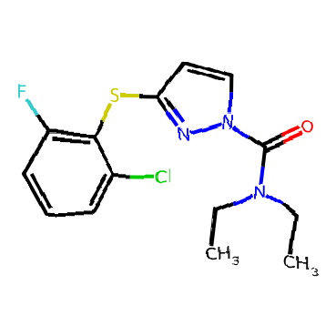 CCN(CC)C(=O)n1ccc(Sc2c(F)cccc2Cl)n1